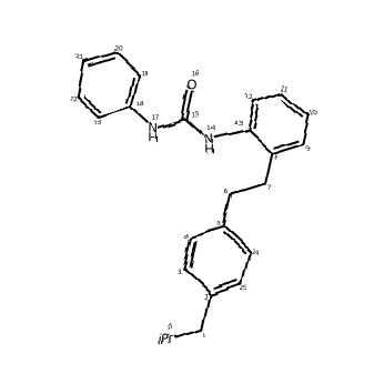 CC(C)Cc1ccc(CCc2ccccc2NC(=O)Nc2ccccc2)cc1